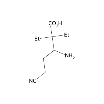 CCC(CC)(C(=O)O)C(N)CCC#N